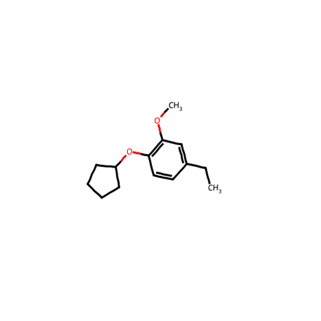 CCc1ccc(OC2CCCC2)c(OC)c1